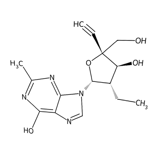 C#C[C@]1(CO)O[C@@H](n2cnc3c(O)nc(C)nc32)[C@@H](CC)[C@@H]1O